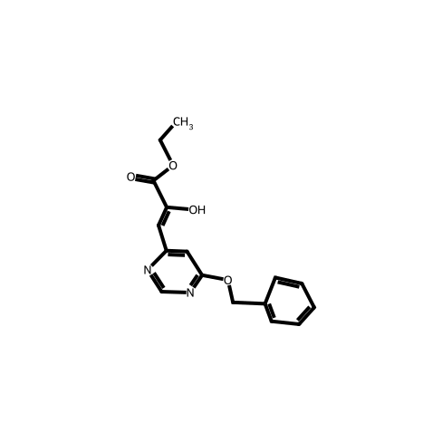 CCOC(=O)C(O)=Cc1cc(OCc2ccccc2)ncn1